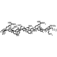 CC(=O)CN(C[C@H](CCCNC(=N)N)NC(=O)CN(C[C@H](CCC(C)C)NC(=O)CN(C[C@@H](NC(=O)CN(C[C@H](CC(C)C)NC(=O)CN(C[C@H](CCCNC(=N)N)NC(=O)CN(C[C@H](C)NC(=O)CN(C[C@H](CCC(=O)O)NC(C)=O)S(=O)(=O)CCN)S(C)(=O)=O)S(C)(=O)=O)S(=O)(=O)CCN)C(C)O)S(=O)(=O)CC(C)C)S(=O)(=O)CCN)S(=O)(=O)CC(C)C